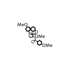 COC(=O)[C@]1(c2ccccc2)[C@H](CC(=O)c2ccc(OC)cc2)CCN1c1ccc(OC)cc1